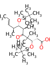 C/C=C/[C@H](C)[C@H](O[Si](C)(C)C(C)(C)C)[C@@H](C)C(=O)C(C)(C)[C@H](CC(=O)O)O[Si](C)(C)C(C)(C)C